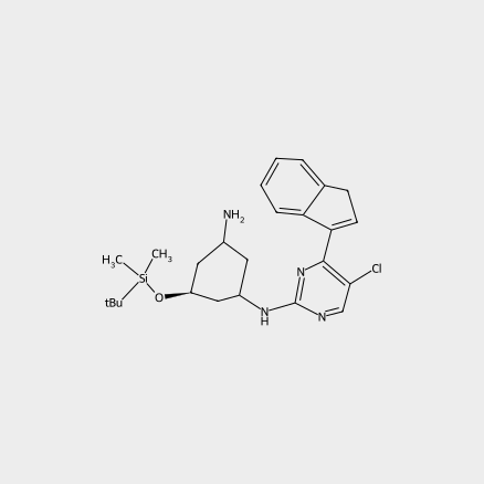 CC(C)(C)[Si](C)(C)O[C@H]1CC(N)CC(Nc2ncc(Cl)c(C3=CCc4ccccc43)n2)C1